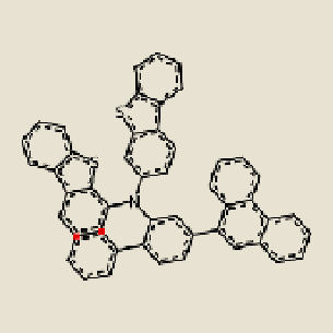 c1ccc(-c2ccc(-c3cc4ccccc4c4ccccc34)cc2N(c2ccc3c(c2)sc2ccccc23)c2cccc3c2sc2ccccc23)cc1